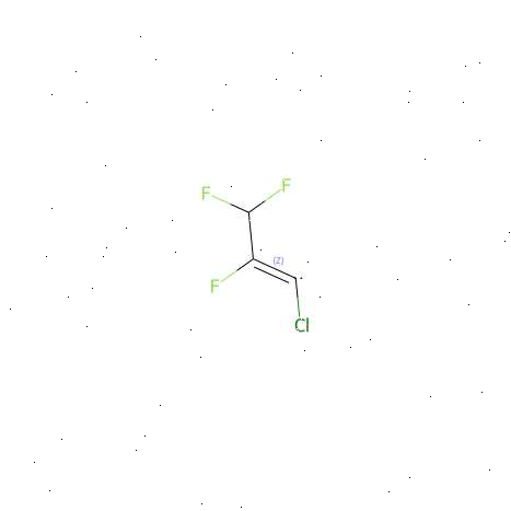 F/C(=[C]\Cl)C(F)F